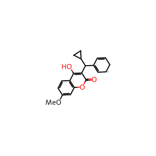 COc1ccc2c(O)c(C(C3=C[CH]CC=C3)C3CC3)c(=O)oc2c1